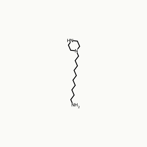 NCCCCCCCCCCN1CCNCC1